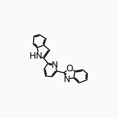 c1cc(-c2cc3ccccc3[nH]2)nc(-c2nc3ccccc3o2)c1